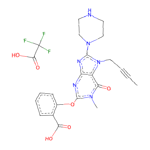 CC#CCn1c(N2CCNCC2)nc2nc(Oc3ccccc3C(=O)O)n(C)c(=O)c21.O=C(O)C(F)(F)F